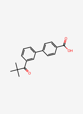 CC(C)(C)C(=O)c1cccc(-c2ccc(C(=O)O)cc2)c1